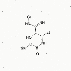 CCC(NC(=O)OC(C)(C)C)C(O)C(=N)NO